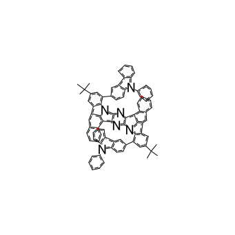 CC(C)(C)c1cc(-c2ccc3c(c2)c2ccccc2n3-c2ccccc2)c2c(c1)c1cc3ccccc3c3c4nc5c(nc4n2c13)c1c2ccccc2cc2c3cc(C(C)(C)C)cc(-c4ccc6c(c4)c4ccccc4n6-c4ccccc4)c3n5c21